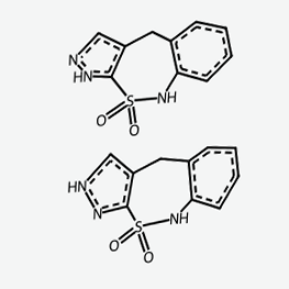 O=S1(=O)Nc2ccccc2Cc2c[nH]nc21.O=S1(=O)Nc2ccccc2Cc2cn[nH]c21